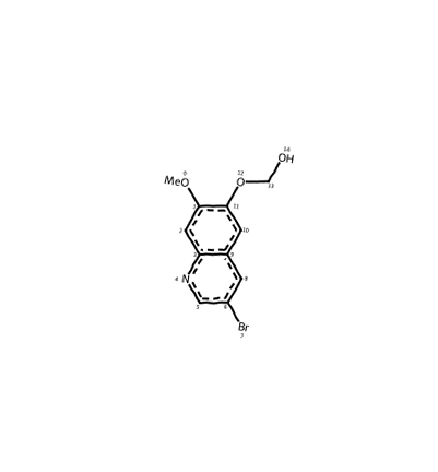 COc1cc2ncc(Br)cc2cc1OCO